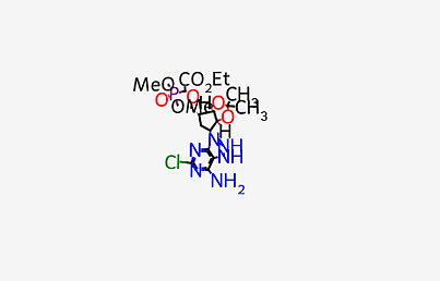 CCOC(=O)C(OC[C@H]1C[C@@H](N2NNc3c(N)nc(Cl)nc32)[C@@H]2OC(C)(C)O[C@H]12)P(=O)(OC)OC